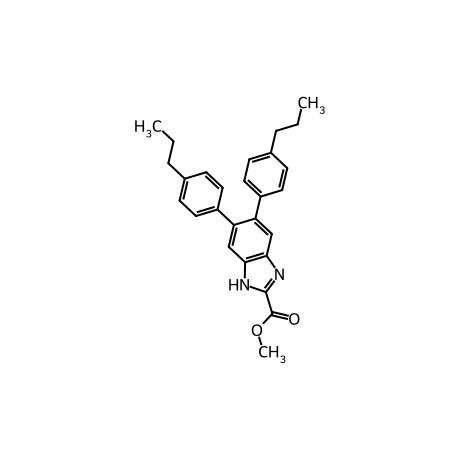 CCCc1ccc(-c2cc3nc(C(=O)OC)[nH]c3cc2-c2ccc(CCC)cc2)cc1